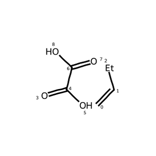 C=CCC.O=C(O)C(=O)O